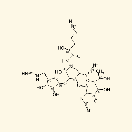 C[C@@H](O)C1O[C@H](O[C@@H]2C(N=[N+]=[N-])C[C@@H](NC(=O)[C@@H](O)CCN=[N+]=[N-])[C@@H](O)C2O[C@@H]2O[C@H](CNC=N)C(O)[C@@H]2O)C(N=[N+]=[N-])[C@@H](O)[C@@H]1O